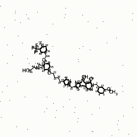 COc1cccc(Cn2ncc3c4sc(Cn5cc(CCCCOc6ccc(OCc7ccc(F)c(C(F)(F)F)c7)c(CNCCO)c6)cn5)nc4n(C)c3c2=O)c1